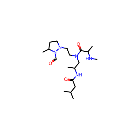 CNC(C)C(=O)N(CCN1CCC(C)N1C=O)CC(C)NC(=O)CC(C)C